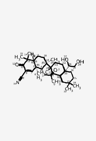 CC(=O)C[C@@H]1[C@@]2(C)C=C(C#N)C(=O)C(C)(C)[C@@H]2CC[C@@]1(C)[C@]1(C)CC[C@@]2(C(O)CO)CCC(C)(C)CC2C1